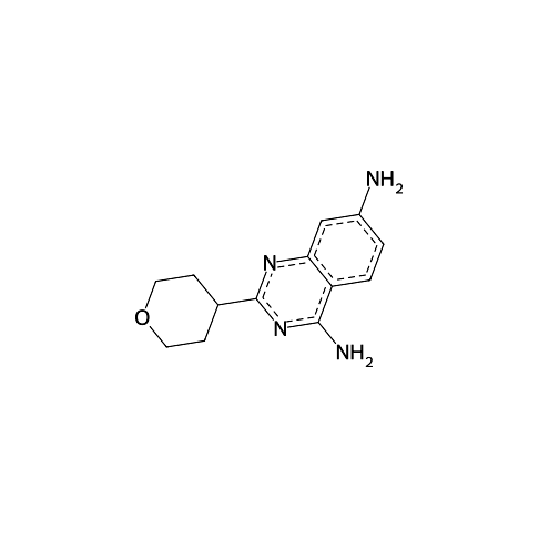 Nc1ccc2c(N)nc(C3CCOCC3)nc2c1